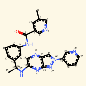 Cc1cncc(C(=O)Nc2cccc([C@H](C)Nc3cnc4cn(-c5cccnc5)nc4n3)c2)c1